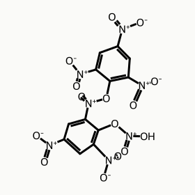 O=[N+](O)Oc1c([N+](=O)[O-])cc([N+](=O)[O-])cc1[N+](=O)Oc1c([N+](=O)[O-])cc([N+](=O)[O-])cc1[N+](=O)[O-]